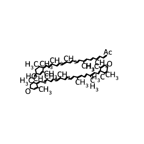 CC(=O)\C=C/C=C(C)/C=C/C=C(C)/C=C/C=C/C(C)=C/C=C/C(C)=C/C=C1\C(C)=CC(O)CC1(C)C.CC1=CC(=O)CC(C)(C)/C1=C/C=C(C)/C=C/C=C(C)/C=C/C=C/C(C)=C/C=C/C(C)=C/C=C1\C(C)=CC(=O)CC1(C)C